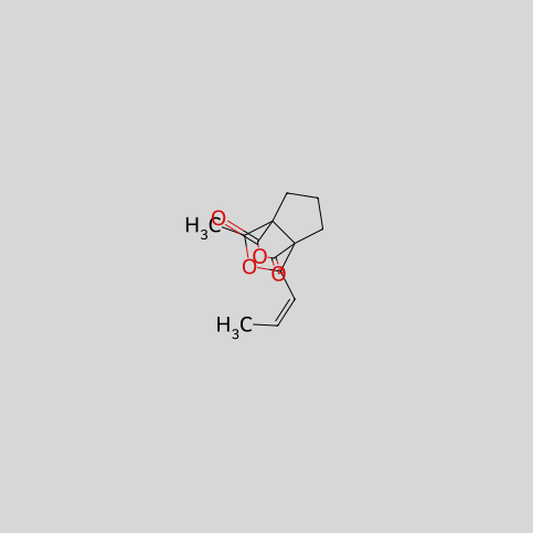 C/C=C\C1OC(C)C23CCCC12C(=O)OC3=O